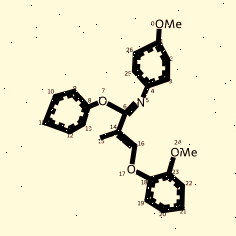 COc1ccc(N=C(Oc2ccccc2)C(C)=COc2ccccc2OC)cc1